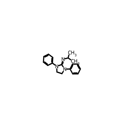 CC(C)N=C1N(c2ccccc2)CCN1c1ccccc1